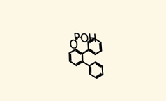 O=PO.c1ccc(-c2ccccc2-c2ccccc2)cc1